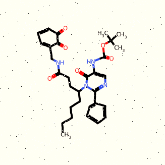 CCCCCC(CCC(=O)NCC1=CC=CC(=O)C1=O)n1c(-c2ccccc2)ncc(NC(=O)OC(C)(C)C)c1=O